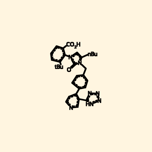 CCCCc1cn(-c2c(C(=O)O)cccc2C(C)(C)C)c(=O)n1Cc1ccc(-c2ccncc2-c2nnn[nH]2)cc1